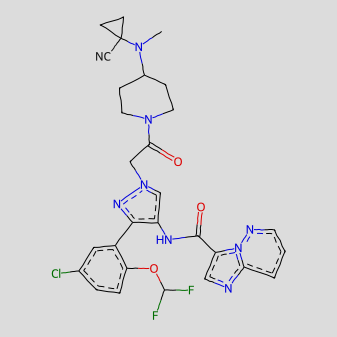 CN(C1CCN(C(=O)Cn2cc(NC(=O)c3cnc4cccnn34)c(-c3cc(Cl)ccc3OC(F)F)n2)CC1)C1(C#N)CC1